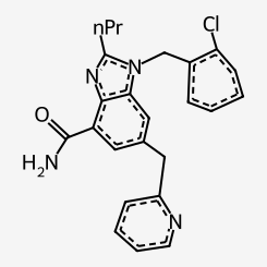 CCCc1nc2c(C(N)=O)cc(Cc3ccccn3)cc2n1Cc1ccccc1Cl